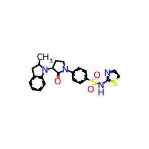 CC1Cc2ccccc2N1[C@H]1CCN(c2ccc(S(=O)(=O)Nc3nccs3)cc2)C1=O